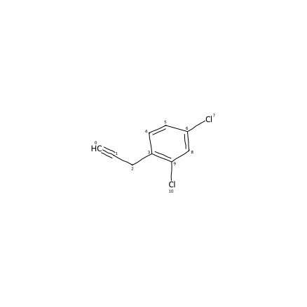 C#CCc1ccc(Cl)cc1Cl